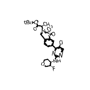 C[C@H](C(=O)OC(C)(C)C)N1Cc2ccc(-c3nc(N[C@H]4CCOC[C@H]4F)ncc3Cl)cc2S1(=O)=O